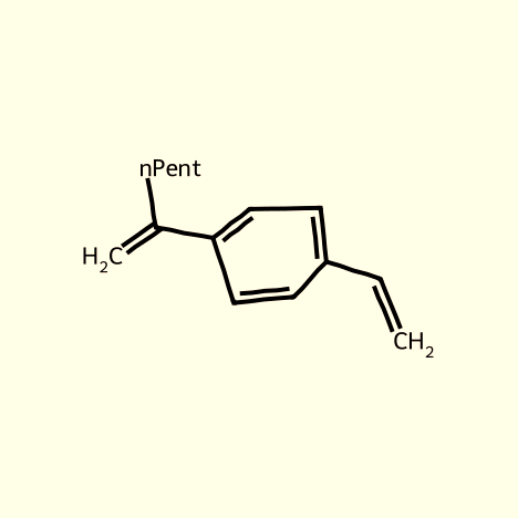 C=Cc1ccc(C(=C)CCCCC)cc1